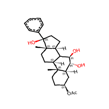 CC(=O)O[C@H]1CC[C@@]2(C)[C@H](C1)[C@@H](O)[C@H](O)C1[C@@H]2CC[C@@]2(C)[C@H]1CC[C@@]2(O)c1ccccc1